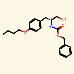 CCCCOc1ccc(C[C@@H](CO)NC(=O)OCc2ccccc2)cc1